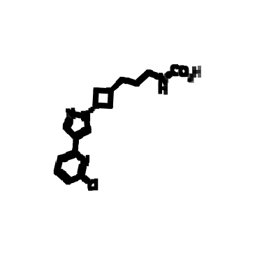 O=C(O)NCCC[C@H]1C[C@H](n2cc(-c3cccc(Cl)n3)cn2)C1